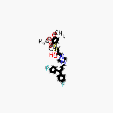 COc1ccc(SCC(O)CN2CCN(CCCC(c3ccc(F)cc3)c3ccc(F)cc3)CC2)c(OC)c1OC